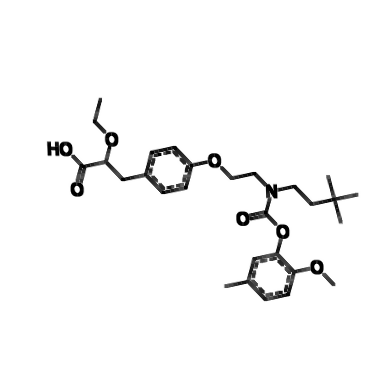 CCOC(Cc1ccc(OCCN(CCC(C)(C)C)C(=O)Oc2cc(C)ccc2OC)cc1)C(=O)O